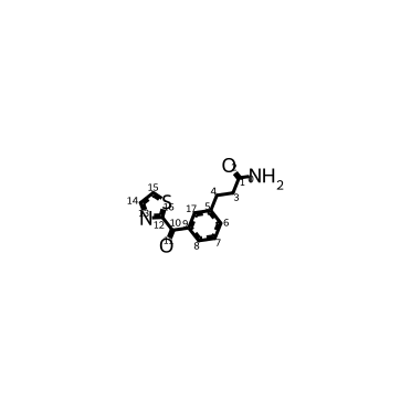 NC(=O)CCc1cccc(C(=O)c2nccs2)c1